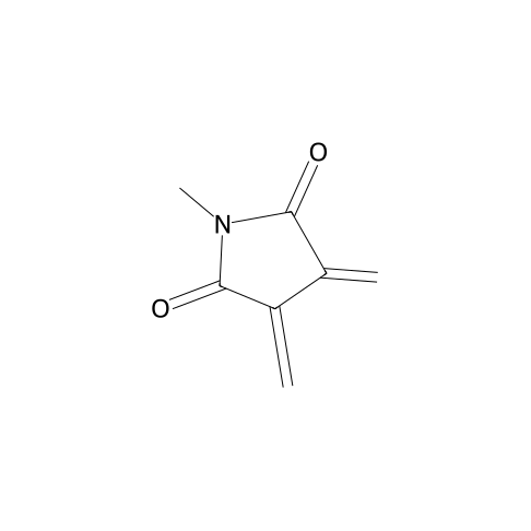 C=C1C(=C)C(=O)N(C)C1=O